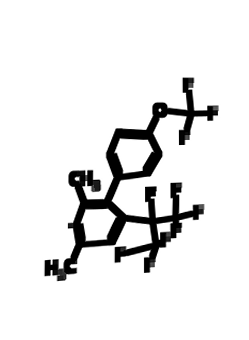 Cc1[c]c(C)c(-c2ccc(OC(F)(F)F)cc2)c(C(F)(C(F)(F)F)C(F)(F)F)c1